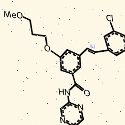 COCCCOc1cc(/C=C/c2cccc(Cl)c2)cc(C(=O)Nc2cnccn2)c1